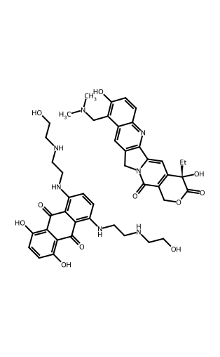 CC[C@@]1(O)C(=O)OCc2c1cc1n(c2=O)Cc2cc3c(CN(C)C)c(O)ccc3nc2-1.O=C1c2c(O)ccc(O)c2C(=O)c2c(NCCNCCO)ccc(NCCNCCO)c21